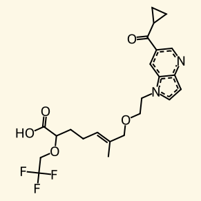 CC(=CCCC(OCC(F)(F)F)C(=O)O)COCCn1ccc2ncc(C(=O)C3CC3)cc21